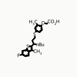 CCCCC(CCSc1ccc(OCC(=O)O)c(C)c1)c1sc2cc(F)ccc2c1C